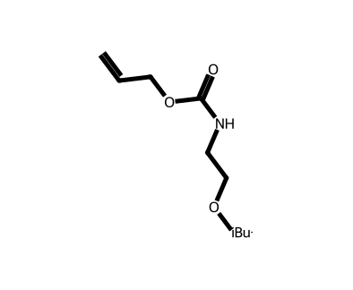 C=CCOC(=O)NCCO[C](C)CC